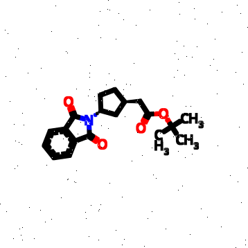 CC(C)(C)OC(=O)C[C@@H]1CC[C@@H](N2C(=O)c3ccccc3C2=O)C1